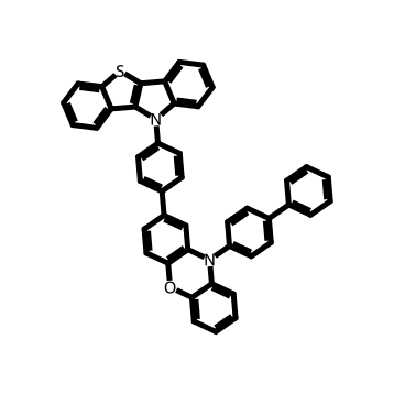 c1ccc(-c2ccc(N3c4ccccc4Oc4ccc(-c5ccc(-n6c7ccccc7c7sc8ccccc8c76)cc5)cc43)cc2)cc1